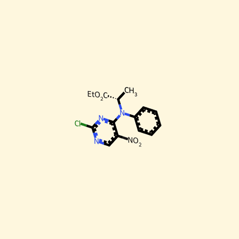 CCOC(=O)[C@H](C)N(c1ccccc1)c1nc(Cl)ncc1[N+](=O)[O-]